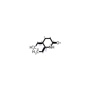 C/C=C1/CCC(=O)N/C1=C/C